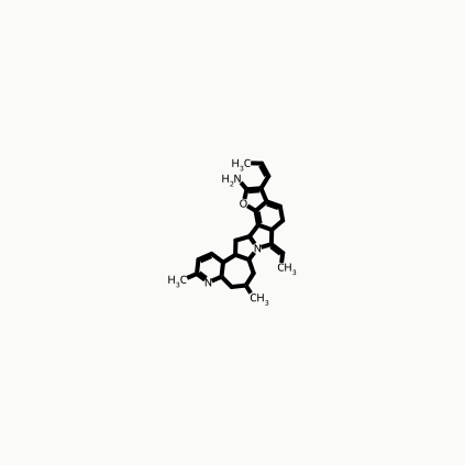 C/C=C\c1c(N)oc2c1=CCC1C=2C2CC3C4C=CC(C)=NC4CC(C)CC3N2/C1=C\C